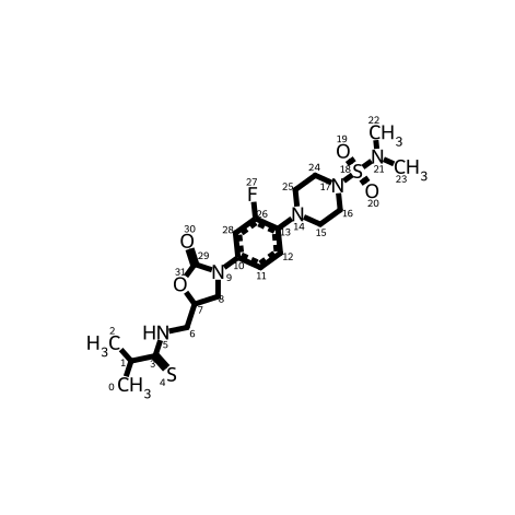 CC(C)C(=S)NCC1CN(c2ccc(N3CCN(S(=O)(=O)N(C)C)CC3)c(F)c2)C(=O)O1